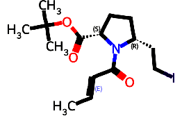 C/C=C/C(=O)N1[C@@H](CCI)CC[C@H]1C(=O)OC(C)(C)C